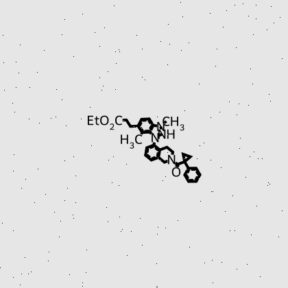 CCOC(=O)CCc1ccc2c(c1C)N(c1cccc3c1CCN(C(=O)C1(c4ccccc4)CC1)C3)NN2C